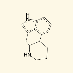 c1cc2c3c(c[nH]c3c1)CC1NCCCC21